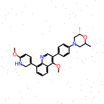 COC1=CC=C(c2cccc3c(OC)c(-c4ccc(N5CC(C)O[C@@H](C)C5)cc4)cnc23)CN1